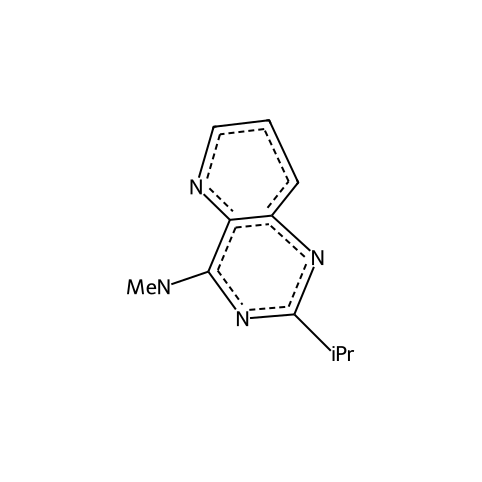 CNc1nc(C(C)C)nc2cccnc12